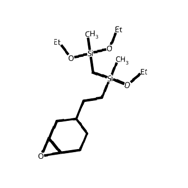 CCO[Si](C)(CCC1CCC2OC2C1)C[Si](C)(OCC)OCC